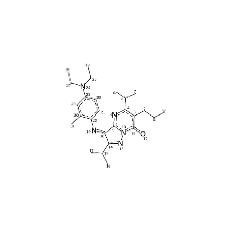 CCCc1c(C(C)C)nc2n(c1=O)N=C(C(C)C)C2=Nc1ccc(N(CC)CC)cc1C